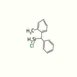 Cc1ccccc1C([SiH2]Cl)c1ccccc1